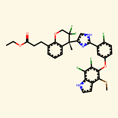 CCOC(=O)CCc1cccc2c1OCC(F)(F)[C@]2(C)c1c[nH]c(-c2cc(Oc3c(F)c(F)c4[nH]ccc4c3SC)ccc2F)n1